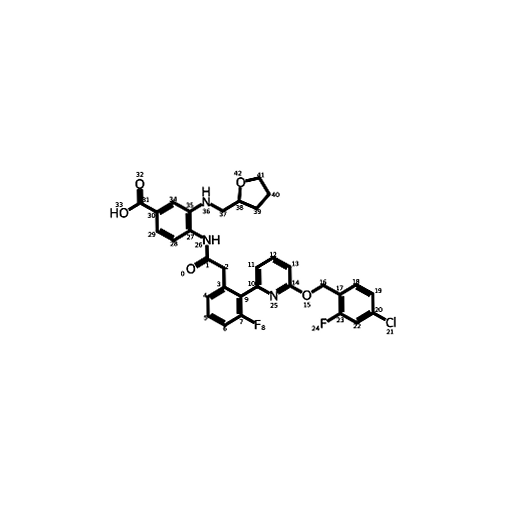 O=C(Cc1cccc(F)c1-c1cccc(OCc2ccc(Cl)cc2F)n1)Nc1ccc(C(=O)O)cc1NCC1CCCO1